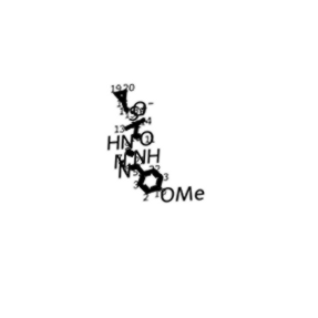 COc1ccc(-c2nnc(NC(=O)C(C)(C)[S+]([O-])CC3CC3)[nH]2)cc1